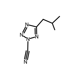 CC(C)Cc1nnn(C#N)n1